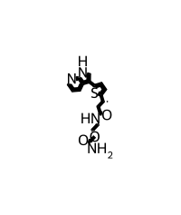 NC(=O)OCCNC(=O)C[CH]c1ccc(-c2c[nH]c3ncccc23)s1